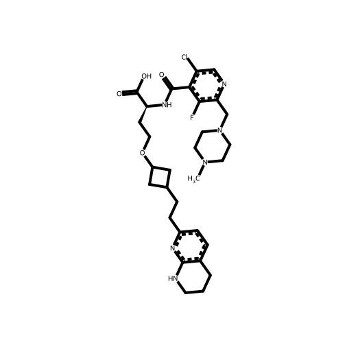 CN1CCN(Cc2ncc(Cl)c(C(=O)N[C@@H](CCOC3CC(CCc4ccc5c(n4)NCCC5)C3)C(=O)O)c2F)CC1